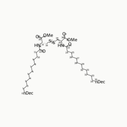 CCCCCCCCCCCCCCCCCCCCCC(=O)N[C@@H](CSSC[C@H](NC(=O)CCCCCCCCCCCCCCCCCCCCC)C(=O)OC)C(=O)OC